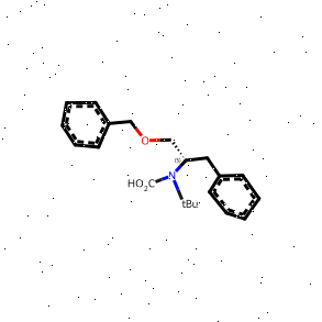 CC(C)(C)N(C(=O)O)[C@H](COCc1ccccc1)Cc1ccccc1